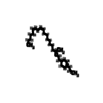 C=C(CCCCCCC/C=C\C/C=C\CCCCC)OCCC1CCN(CCC)CC1